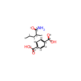 CCCC(C)C(N)=O.O=C(O)c1ccc(C(=O)O)cc1